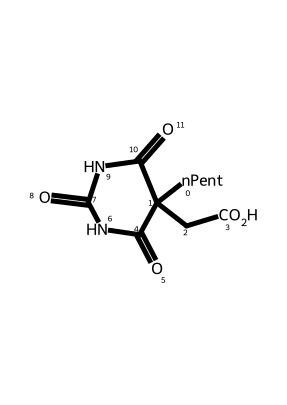 CCCCCC1(CC(=O)O)C(=O)NC(=O)NC1=O